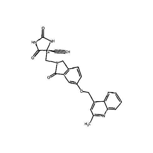 C#C[C@]1(CN2Cc3ccc(OCc4cc(C)nc5ccccc45)cc3C2=O)NC(=O)NC1=O